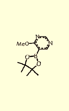 COc1ncncc1B1OC(C)(C)C(C)(C)O1